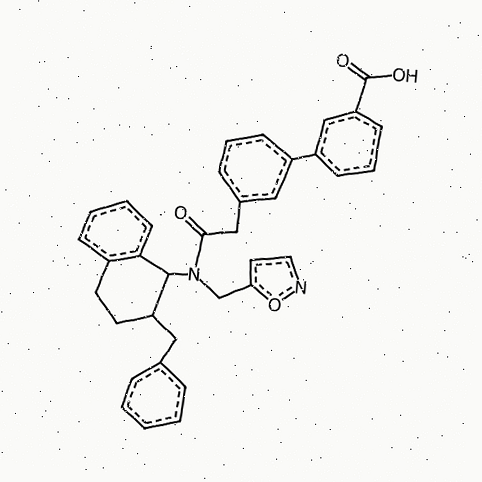 O=C(O)c1cccc(-c2cccc(CC(=O)N(Cc3ccno3)C3c4ccccc4CCC3Cc3ccccc3)c2)c1